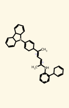 C/C(=C\C=C(/C)C1C=CC(N2C3C=CC=CC3C3C=CC=CC32)=CC1)Nc1ccccc1C1C=CC=CC1